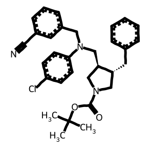 CC(C)(C)OC(=O)N1C[C@@H](Cc2ccccc2)[C@H](CN(Cc2cccc(C#N)c2)c2ccc(Cl)cc2)C1